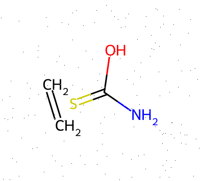 C=C.NC(O)=S